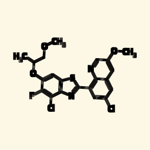 COCC(C)Oc1cc2sc(-c3cc(Cl)cc4cc(OC)cnc34)nc2c(Cl)c1F